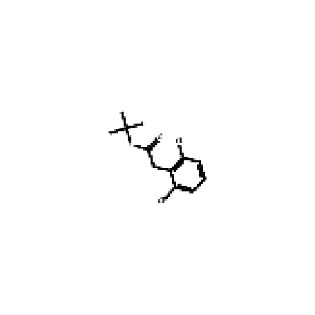 CC(C)(C)OC(=O)[CH]c1c(Cl)cccc1Cl